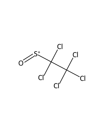 O=[S+]C(Cl)(Cl)C(Cl)(Cl)Cl